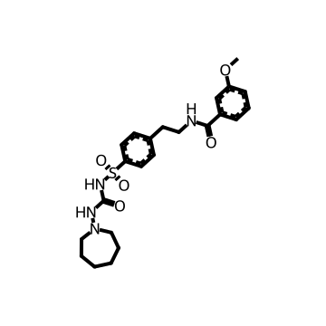 COc1cccc(C(=O)NCCc2ccc(S(=O)(=O)NC(=O)NN3CCCCCC3)cc2)c1